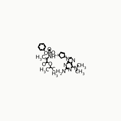 CC(C)OC(=O)[C@H](C)N[P@](=O)(OC[C@@H]1C=C[C@H](n2cnc3c(N(C)C)nc(N)nc32)C1)Oc1ccccc1